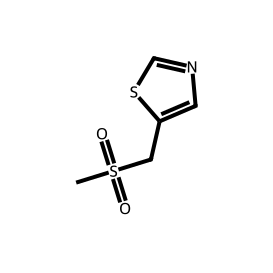 CS(=O)(=O)Cc1cncs1